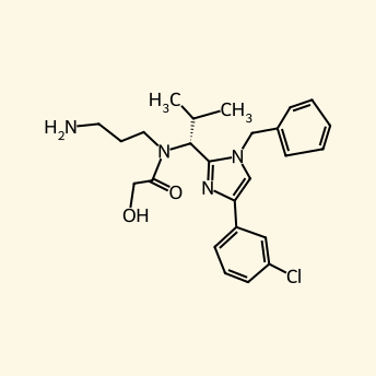 CC(C)[C@H](c1nc(-c2cccc(Cl)c2)cn1Cc1ccccc1)N(CCCN)C(=O)CO